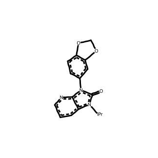 CC(C)n1c(=O)n(-c2ccc3c(c2)OCO3)c2ncccc21